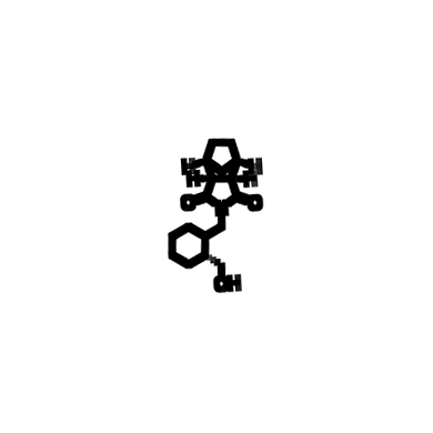 O=C1[C@@H]2[C@@H]3CC[C@@H](C3)[C@@H]2C(=O)N1CC1CCCC[C@H]1CO